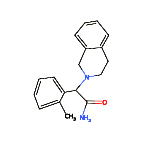 Cc1ccccc1C(C(N)=O)N1CCc2ccccc2C1